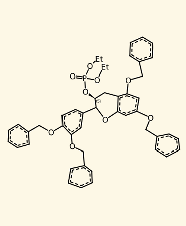 CCOP(=O)(OCC)O[C@H]1Cc2c(OCc3ccccc3)cc(OCc3ccccc3)cc2OC1c1ccc(OCc2ccccc2)c(OCc2ccccc2)c1